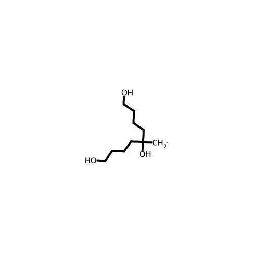 [CH2]C(O)(CCCCO)CCCCO